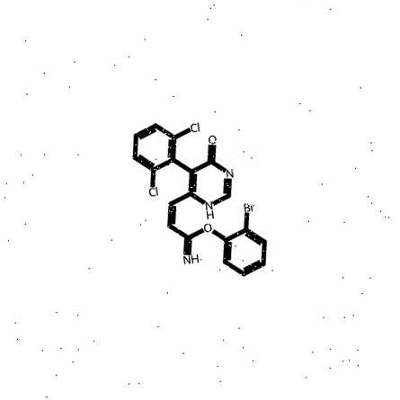 N=C(/C=C\c1[nH]cnc(=O)c1-c1c(Cl)cccc1Cl)Oc1ccccc1Br